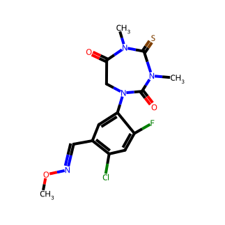 CO/N=C/c1cc(N2CC(=O)N(C)C(=S)N(C)C2=O)c(F)cc1Cl